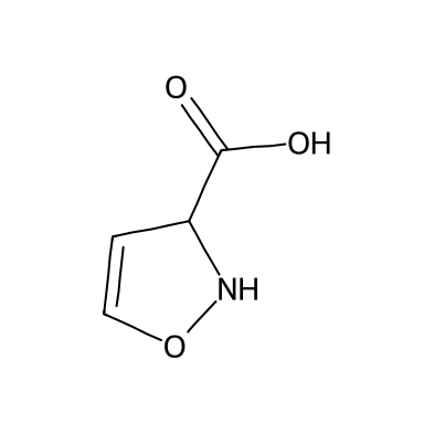 O=C(O)C1C=CON1